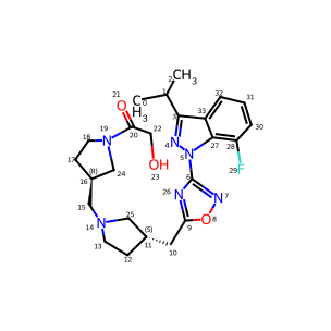 CC(C)c1nn(-c2noc(C[C@@H]3CCN(C[C@H]4CCN(C(=O)CO)C4)C3)n2)c2c(F)cccc12